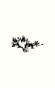 CCn1c(-c2cccnc2C(C)C)c2c3cc(ccc31)-c1cc(O)cc(c1)C[C@H](NC(=O)[C@H](C(C)C)N1CCC3(CN(S(=O)(=O)[C@H]4CN4)C3)C1=O)C(=O)N1CCC[C@H](N1)C(=O)OCC(C)(C)C2